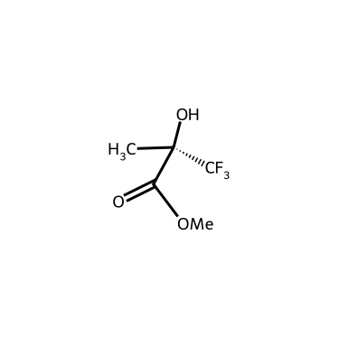 COC(=O)[C@@](C)(O)C(F)(F)F